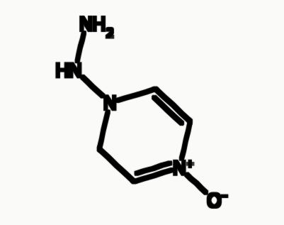 NNN1C=C[N+]([O-])=CC1